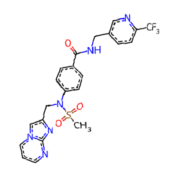 CS(=O)(=O)N(Cc1cn2cccnc2n1)c1ccc(C(=O)NCc2ccc(C(F)(F)F)nc2)cc1